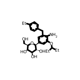 CCc1ccc(Cc2cc([C@@H]3O[C@H](CO)[C@@H](O)[C@H](O)[C@H]3O)cc(OC(CC)CC)c2N)cc1